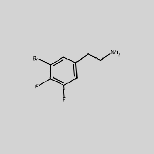 NCCc1cc(F)c(F)c(Br)c1